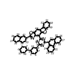 c1ccc(-c2cccc(-c3nc(-c4cc5ccccc5c5ccccc45)nc(-c4c5nc(-c6ccc7ccccc7c6)oc5cc5c4oc4ccccc45)n3)c2)cc1